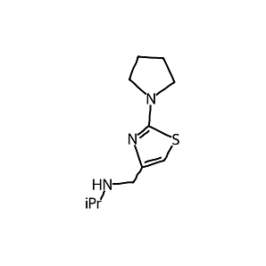 CC(C)NCc1csc(N2CCCC2)n1